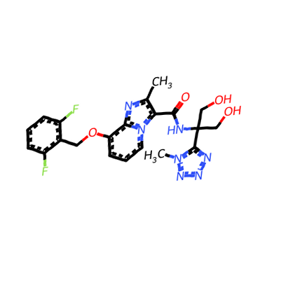 Cc1nc2c(OCc3c(F)cccc3F)cccn2c1C(=O)NC(CO)(CO)c1nnnn1C